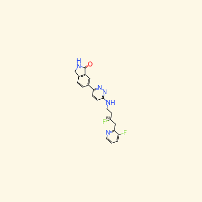 O=C1NCc2ccc(-c3ccc(NCC[C@H](F)Cc4ncccc4F)nn3)cc21